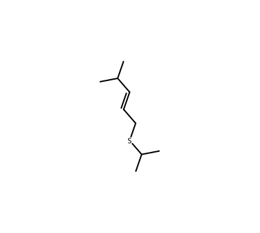 CC(C)/C=C/CSC(C)C